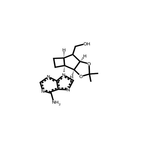 CC1(C)O[C@@H]2C(CO)[C@@H]3CC[C@]3(n3cnc4c(N)ncnc43)[C@@H]2O1